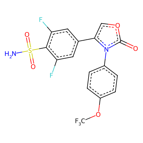 NS(=O)(=O)c1c(F)cc(-c2coc(=O)n2-c2ccc(OC(F)(F)F)cc2)cc1F